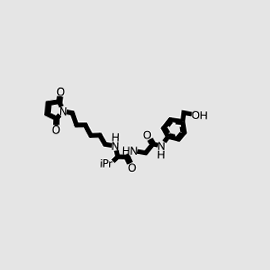 CC(C)C(NCCCCCCN1C(=O)C=CC1=O)C(=O)NCC(=O)Nc1ccc(CO)cc1